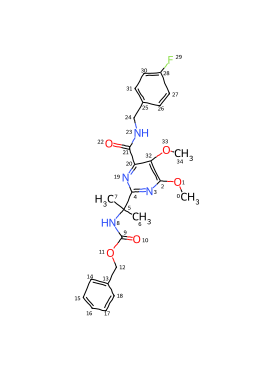 COc1nc(C(C)(C)NC(=O)OCc2ccccc2)nc(C(=O)NCc2ccc(F)cc2)c1OC